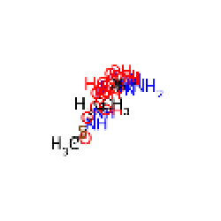 CCCC(=O)SCCNC(=O)CCNC(=O)[C@H](O)C(C)(C)COP(=O)(O)OP(=O)(O)OC[C@H]1O[C@@H](n2cnc3c(N)ncnc32)[C@H](O)[C@@H]1OP(=O)(O)O